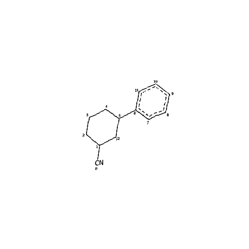 N#CC1CCCC(c2ccccc2)C1